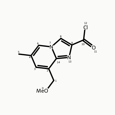 COCc1cc(C)cn2cc(C(=O)Cl)nc12